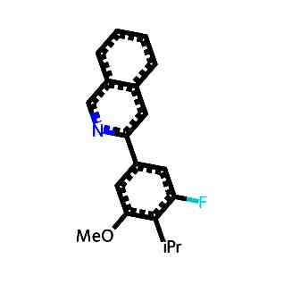 COc1cc(-c2cc3ccccc3cn2)cc(F)c1C(C)C